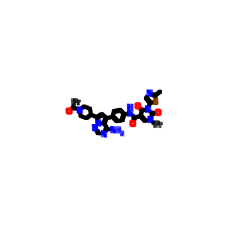 Cc1ncc(-n2c(=O)c(C(=O)Nc3ccc(-c4cc(C5CCN(C(=O)C(C)C)CC5)n5ncnc(N)c45)cc3)cn(C(C)C)c2=O)s1